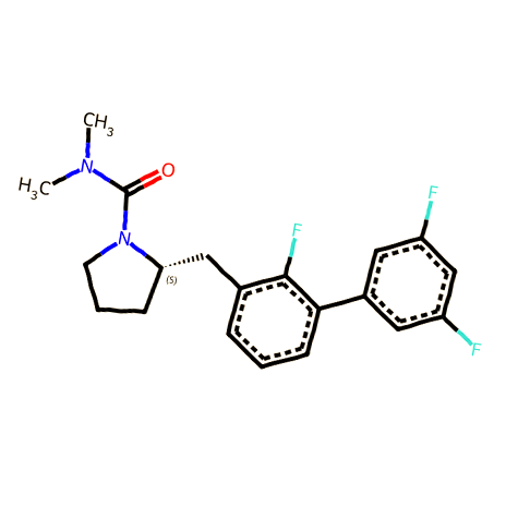 CN(C)C(=O)N1CCC[C@H]1Cc1cccc(-c2cc(F)cc(F)c2)c1F